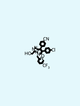 N#Cc1ccc(-c2c(-c3ccc(Cl)cc3)c(=O)n(Cc3ccc(C(F)(F)F)cn3)n3c(CO)nnc23)cc1